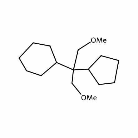 COCC(COC)(C1CCCCC1)C1CCCC1